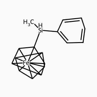 C[SiH](c1ccccc1)[C]12[CH]3[CH]4[CH]5[CH]1[Fe]45321678[CH]2[CH]1[CH]6[CH]7[CH]28